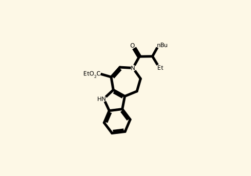 CCCCC(CC)C(=O)N1C=C(C(=O)OCC)c2[nH]c3ccccc3c2CC1